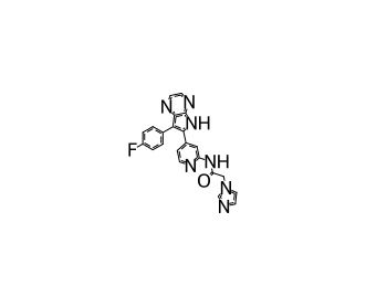 O=C(Cn1ccnc1)Nc1cc(-c2[nH]c3nccnc3c2-c2ccc(F)cc2)ccn1